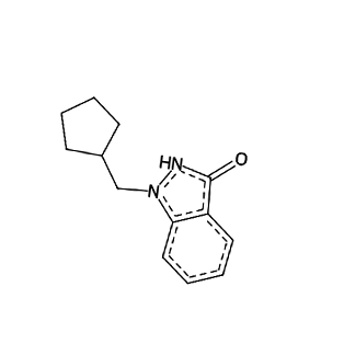 O=c1[nH]n(CC2CCCC2)c2ccccc12